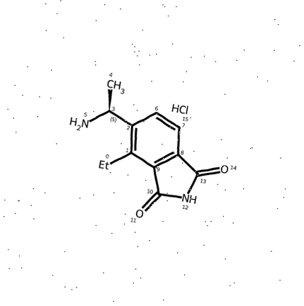 CCc1c([C@H](C)N)ccc2c1C(=O)NC2=O.Cl